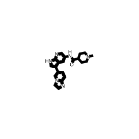 CN1CCC(C(=O)Nc2cnc3[nH]cc(-c4ccc5nccn5c4)c3c2)CC1